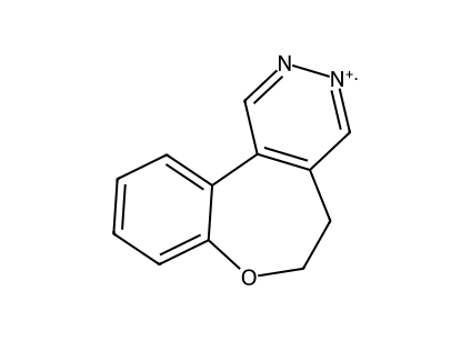 C1=N[N+]=CC2=C1c1ccccc1OCC2